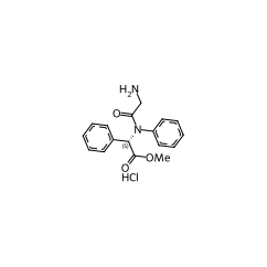 COC(=O)[C@H](c1ccccc1)N(C(=O)CN)c1ccccc1.Cl